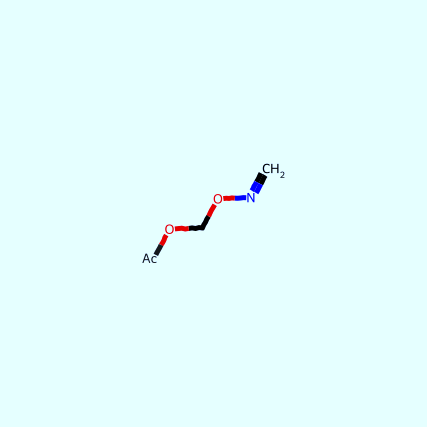 C=NOCOC(C)=O